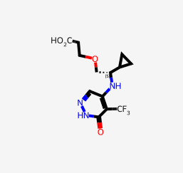 O=C(O)CCOC[C@@H](Nc1cn[nH]c(=O)c1C(F)(F)F)C1CC1